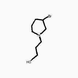 OCCCN1CCCC(Br)C1